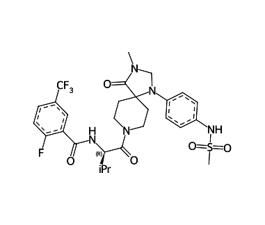 CC(C)[C@@H](NC(=O)c1cc(C(F)(F)F)ccc1F)C(=O)N1CCC2(CC1)C(=O)N(C)CN2c1ccc(NS(C)(=O)=O)cc1